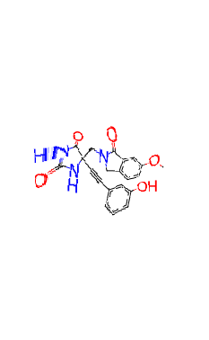 COc1ccc2c(c1)C(=O)N(C[C@@]1(C#Cc3cccc(O)c3)NC(=O)NC1=O)C2